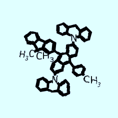 Cc1ccc(-c2c3ccc(N4c5ccccc5Cc5ccccc54)cc3c(-c3ccc4c(c3)C(C)(C)c3ccccc3-4)c3ccc(N4c5ccccc5Cc5ccccc54)cc23)cc1